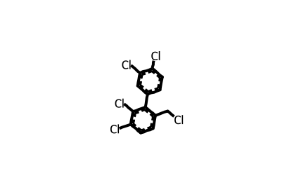 ClCc1ccc(Cl)c(Cl)c1-c1ccc(Cl)c(Cl)c1